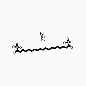 O=C(CCCCCCCCCCCCCCCCCC(=O)P(=O)([O-])[O-])P(=O)([O-])[O-].[H+].[H+].[Na+].[Na+]